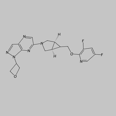 Fc1cnc(OCC2[C@H]3CN(c4cnc5cnn(C6COC6)c5n4)C[C@@H]23)c(F)c1